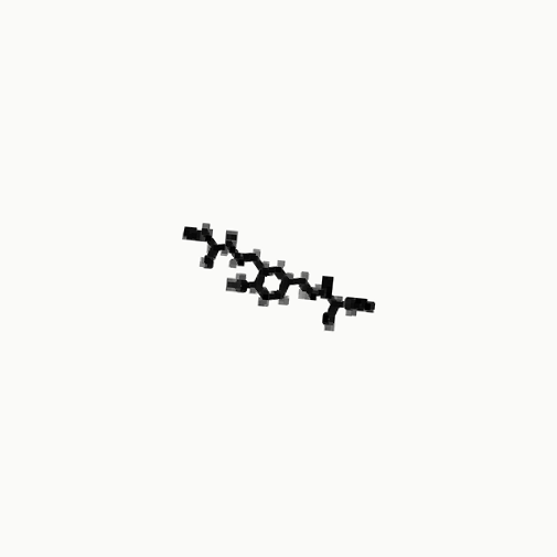 CNC(=S)N/N=C/c1cc(/C=N/NC(=O)OC)ccc1O